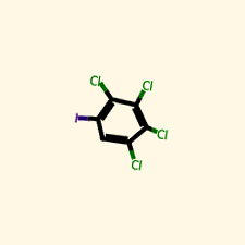 Clc1cc(I)c(Cl)c(Cl)c1Cl